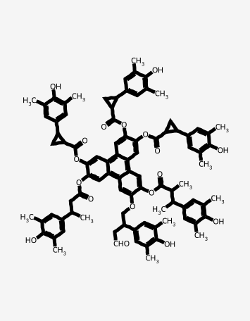 Cc1cc(C(C)CC(=O)Oc2cc3c4cc(OCC(CC=O)c5cc(C)c(O)c(C)c5)c(OC(=O)C(C)C(C)c5cc(C)c(O)c(C)c5)cc4c4cc(OC(=O)C5CC5c5cc(C)c(O)c(C)c5)c(OC(=O)C5CC5c5cc(C)c(O)c(C)c5)cc4c3cc2OC(=O)C2CC2c2cc(C)c(O)c(C)c2)cc(C)c1O